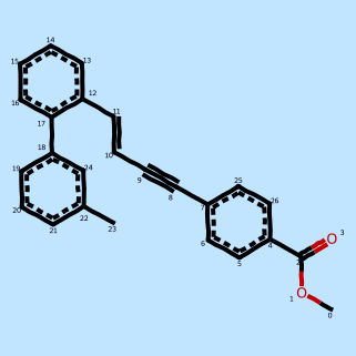 COC(=O)c1ccc(C#C/C=C/c2ccccc2-c2cccc(C)c2)cc1